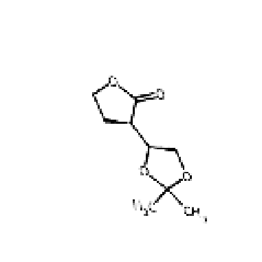 CC1(C)OC[C@H]([C@H]2CCOC2=O)O1